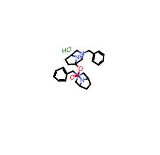 Cl.O=C(OC12CCC(CN(Cc3ccccc3)C1)N2)N1C2CCC1CN(Cc1ccccc1)C2